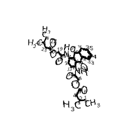 CCC(C)CC(=O)OCC(=O)Nc1ccc(NC(=O)COC(=O)CC(C)CC)c2c1C(=O)c1ccccc1C2=O